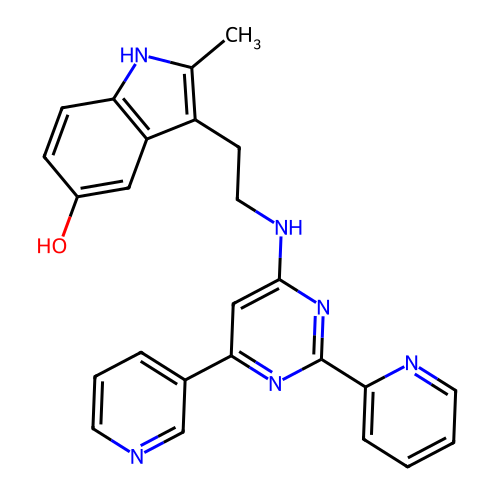 Cc1[nH]c2ccc(O)cc2c1CCNc1cc(-c2cccnc2)nc(-c2ccccn2)n1